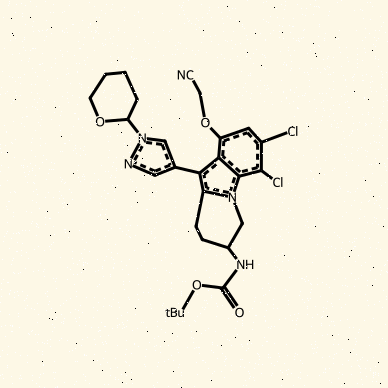 CC(C)(C)OC(=O)NC1CCc2c(-c3cnn(C4CCCCO4)c3)c3c(OCC#N)cc(Cl)c(Cl)c3n2C1